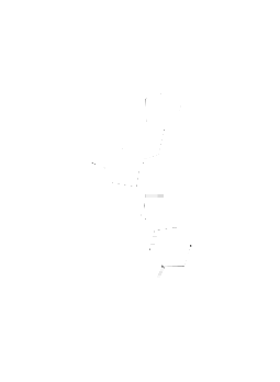 CC1(C)CC(=O)C=C(NC(=O)[C@@H]2C[C@@H](O)CN2CC2CCOCC2)C1